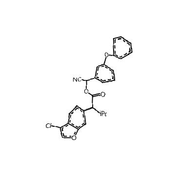 CC(C)C(C(=O)OC(C#N)c1cccc(Oc2ccccc2)c1)c1ccc2c(Cl)coc2c1